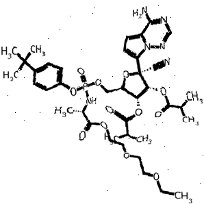 CCOCCOCCOC(=O)[C@H](C)NP(=O)(OC[C@H]1O[C@@](C#N)(c2ccc3c(N)ncnn23)[C@H](OC(=O)C(C)C)[C@@H]1OC(=O)C(C)C)Oc1ccc(C(C)(C)C)cc1